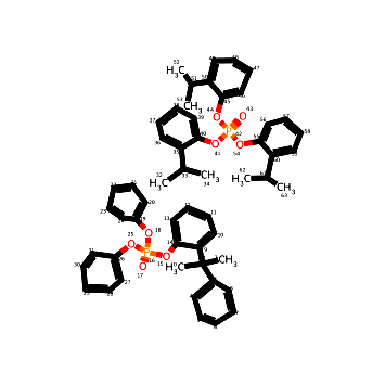 CC(C)(c1ccccc1)c1ccccc1OP(=O)(Oc1ccccc1)Oc1ccccc1.CC(C)c1ccccc1OP(=O)(Oc1ccccc1C(C)C)Oc1ccccc1C(C)C